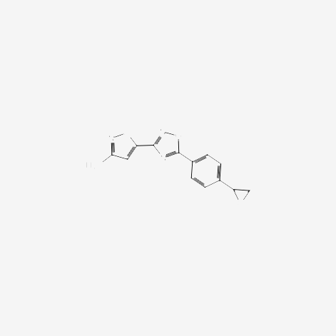 Cc1cc(-c2noc(-c3ccc(C4CO4)cc3)n2)on1